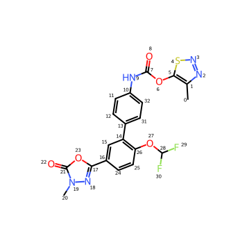 Cc1nnsc1OC(=O)Nc1ccc(-c2cc(-c3nn(C)c(=O)o3)ccc2OC(F)F)cc1